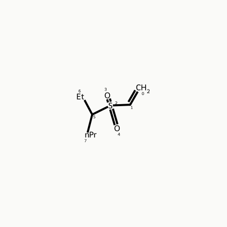 C=CS(=O)(=O)C(CC)CCC